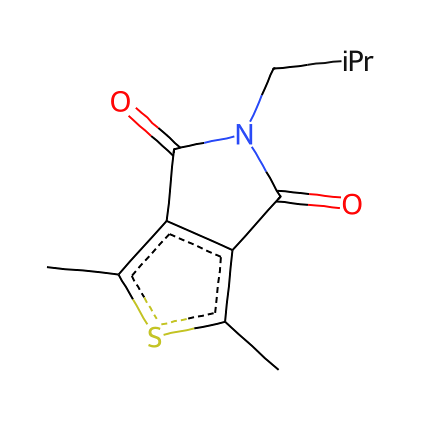 Cc1sc(C)c2c1C(=O)N(CC(C)C)C2=O